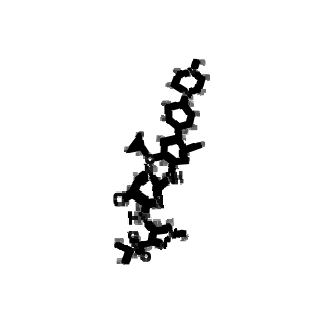 Cc1cc(Nc2ncc(Cl)c(Nc3cn(C)nc3S(=O)(=O)C(C)C)n2)c(OC2CC2)cc1C1CCC(N2CCN(C)CC2)CC1